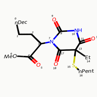 CCCCCCCCCCCCC(C(=O)OC)N1C(=O)NC(=O)C(CC)(SCCCCC)C1=O